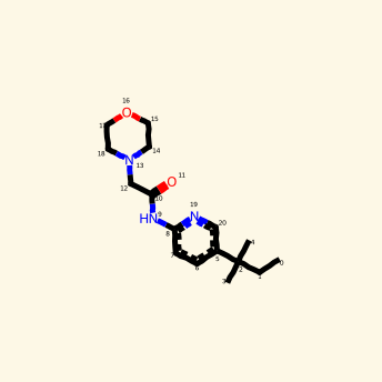 CCC(C)(C)c1ccc(NC(=O)CN2CCOCC2)nc1